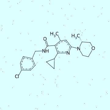 Cc1cc(N2CCOC[C@H]2C)nc(C2CC2)c1C(=O)NCc1ccc(Cl)cc1